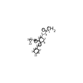 C=CC(=O)CCc1ccc(OCc2ccccc2)c(OCC2CC2)c1